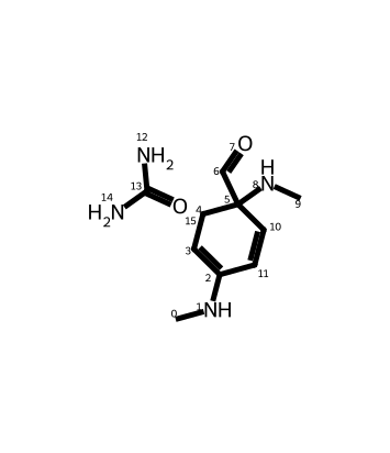 CNC1=CCC(C=O)(NC)C=C1.NC(N)=O